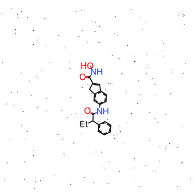 CCC(C(=O)Nc1ccc2c(c1)CC(C(=O)NO)=C2)c1ccccc1